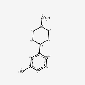 O=C(O)N1CCN(c2cc(O)ccn2)CC1